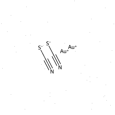 N#C[S-].N#C[S-].[Au+].[Au+]